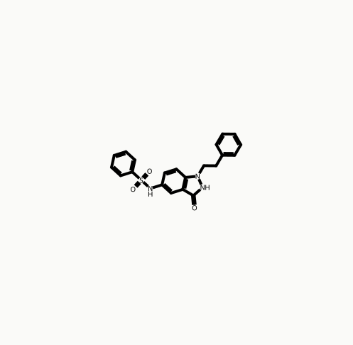 O=c1[nH]n(CCc2ccccc2)c2ccc(NS(=O)(=O)c3ccccc3)cc12